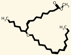 CCCCC/C=C\C/C=C\CCCCCCCOC(C/C=C\CCCCCCCC(=O)OC)CCCCCC